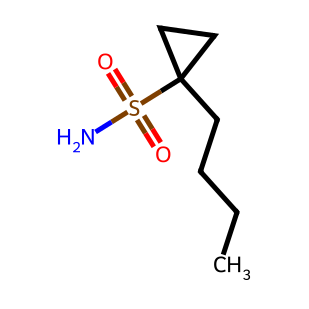 CCCCC1(S(N)(=O)=O)CC1